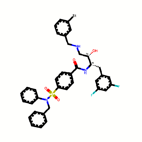 CCc1cccc(CNC[C@H](O)[C@H](Cc2cc(F)cc(F)c2)NC(=O)c2ccc(S(=O)(=O)N(Cc3ccccc3)c3ccccc3)cc2)c1